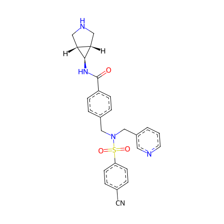 N#Cc1ccc(S(=O)(=O)N(Cc2ccc(C(=O)N[C@H]3[C@@H]4CNC[C@@H]43)cc2)Cc2cccnc2)cc1